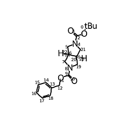 CC(C)(C)OC(=O)N1C[C@H]2CN(C(=O)OCc3ccccc3)C[C@@H]2C1